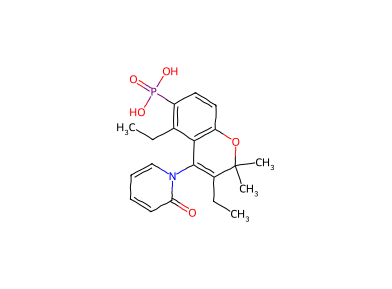 CCC1=C(n2ccccc2=O)c2c(ccc(P(=O)(O)O)c2CC)OC1(C)C